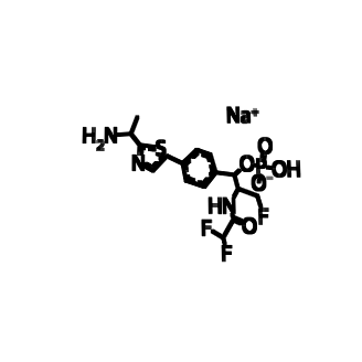 CC(N)c1ncc(-c2ccc(C(OP(=O)([O-])O)C(CF)NC(=O)C(F)F)cc2)s1.[Na+]